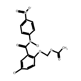 CC(=O)OCOc1ccc(Cl)cc1C(=O)N(Cl)c1ccc([N+](=O)[O-])cc1